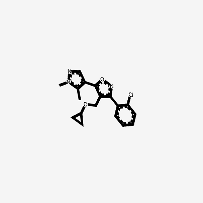 Cc1c(-c2onc(-c3ccccc3Cl)c2COC2CC2)cnn1C